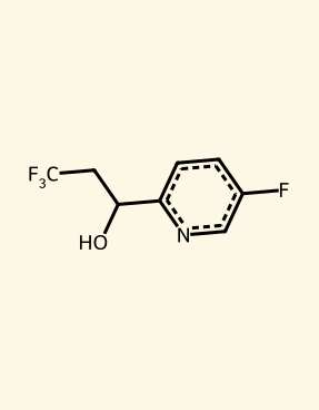 OC(CC(F)(F)F)c1ccc(F)cn1